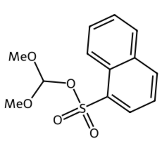 COC(OC)OS(=O)(=O)c1cccc2ccccc12